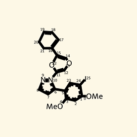 COc1cc(OC)c(-c2ccnn2C2=COC=C(C3=CC=CCC3)O2)cc1I